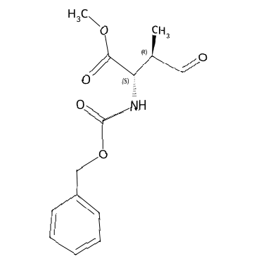 COC(=O)[C@@H](NC(=O)OCc1ccccc1)[C@@H](C)C=O